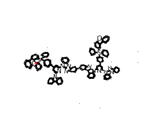 c1ccc([Si](c2ccccc2)(c2ccc(-c3cc(N4C5=Nc6ccc(-c7ccc8nc9n(-c%10cc(-c%11ccc([Si](c%12ccccc%12)(c%12ccccc%12)c%12cccc%13c%12oc%12ccccc%12%13)cc%11)cc(-n%11c%12ccccc%12c%12ccccc%12%11)n%10)c%10ccccc%10n9c8c7)cc6C5c5ccccc54)nc(-n4c5ccccc5n5c6ccccc6nc45)c3)cc2)c2ccc3oc4ccccc4c3c2)cc1